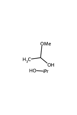 CC(C)O.COC(C)O